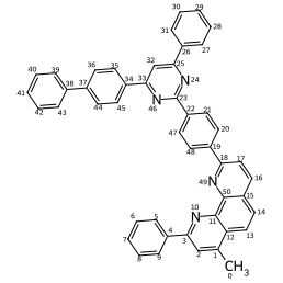 Cc1cc(-c2ccccc2)nc2c1ccc1ccc(-c3ccc(-c4nc(-c5ccccc5)cc(-c5ccc(-c6ccccc6)cc5)n4)cc3)nc12